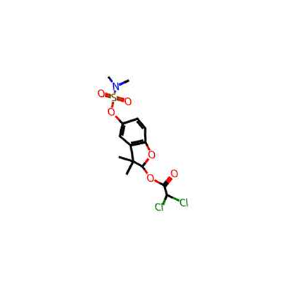 CN(C)S(=O)(=O)Oc1ccc2c(c1)C(C)(C)C(OC(=O)C(Cl)Cl)O2